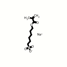 C=C(C)C(=O)OCCCCCCS(=O)(=O)[O-].[Na+]